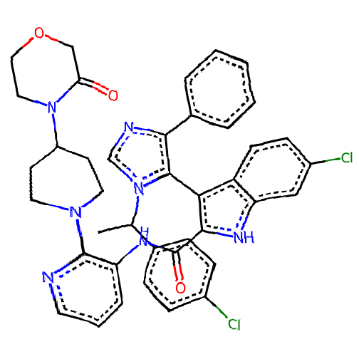 CC(c1ccc(Cl)cc1)n1cnc(-c2ccccc2)c1-c1c(C(=O)Nc2cccnc2N2CCC(N3CCOCC3=O)CC2)[nH]c2cc(Cl)ccc12